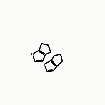 c1cc2c(o1)CCC2.c1cc2c(s1)CCC2